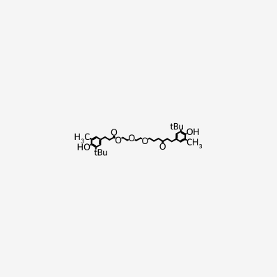 Cc1cc(CCC(=O)CCCOCCOCCOC(=O)CCc2cc(C)c(O)c(C(C)(C)C)c2)cc(C(C)(C)C)c1O